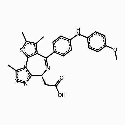 COc1ccc(Nc2ccc(C3=N[C@@H](CC(=O)O)c4nnc(C)n4-c4sc(C)c(C)c43)cc2)cc1